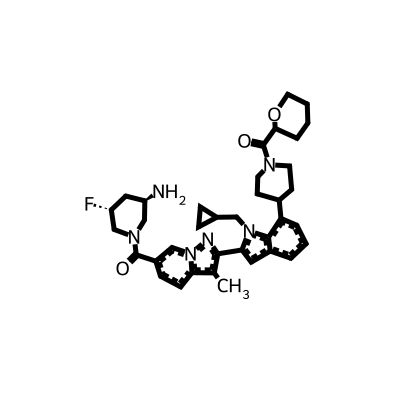 Cc1c(-c2cc3cccc(C4CCN(C(=O)C5CCCCO5)CC4)c3n2CC2CC2)nn2cc(C(=O)N3C[C@H](N)C[C@@H](F)C3)ccc12